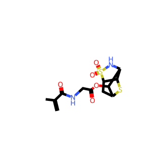 C=C(C)C(=O)NCC(=O)OC1C2CC3C(S2)C1NS3(=O)=O